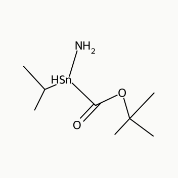 C[CH](C)[SnH]([NH2])[C](=O)OC(C)(C)C